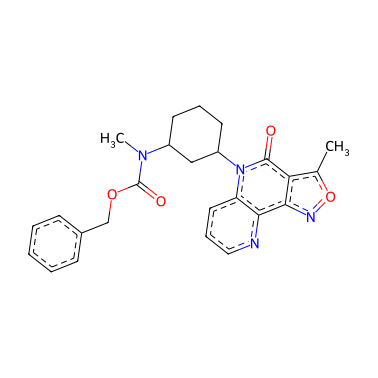 Cc1onc2c1c(=O)n(C1CCCC(N(C)C(=O)OCc3ccccc3)C1)c1cccnc21